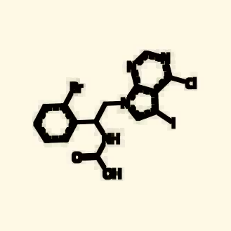 O=C(O)NC(Cn1cc(I)c2c(Cl)ncnc21)c1ccccc1Br